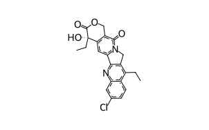 CCc1c2c(nc3cc(Cl)ccc13)-c1cc3c(c(=O)n1C2)COC(=O)[C@]3(O)CC